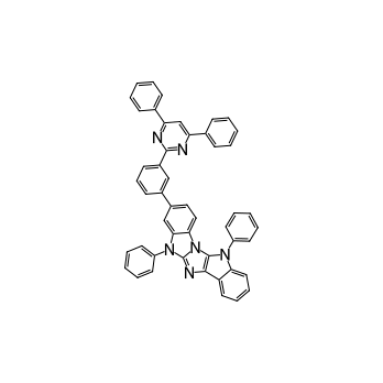 c1ccc(-c2cc(-c3ccccc3)nc(-c3cccc(-c4ccc5c(c4)n(-c4ccccc4)c4nc6c7ccccc7n(-c7ccccc7)c6n54)c3)n2)cc1